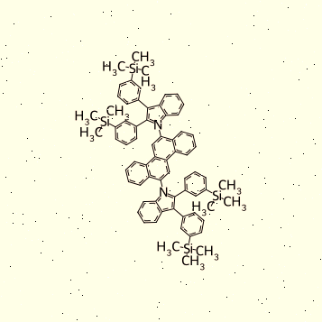 C[Si](C)(C)c1cccc(-c2c(-c3cccc([Si](C)(C)C)c3)n(-c3cc4c5ccccc5c(-n5c(-c6cccc([Si](C)(C)C)c6)c(-c6cccc([Si](C)(C)C)c6)c6ccccc65)cc4c4ccccc34)c3ccccc23)c1